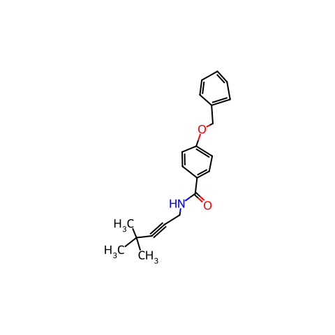 CC(C)(C)C#CCNC(=O)c1ccc(OCc2ccccc2)cc1